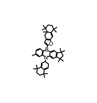 Cc1ccc2c(c1)N(C1C=C3C(=CC1)C(C)(C)CCC3(C)C)c1cc3c(cc1B2c1cc2c(o1)C=C1C(C)(C)CCC(C)(C)C1(C)C2)C(C)(C)CC3(C)C